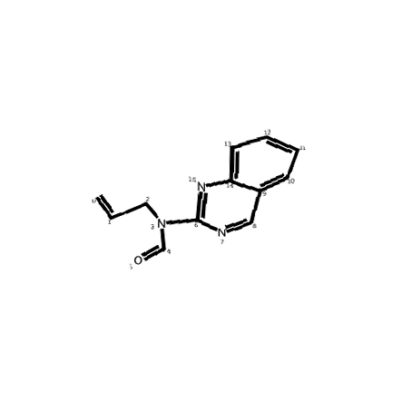 C=CCN([C]=O)c1ncc2ccccc2n1